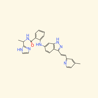 Cc1ccnc(C=Cc2n[nH]c3cc(Nc4ccccc4C(=O)NC(C)c4ncc[nH]4)ccc23)c1